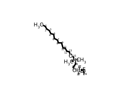 CCCCCCCCCCCCCCOC[N+](C)(C)CCO.F[B-](F)(F)F